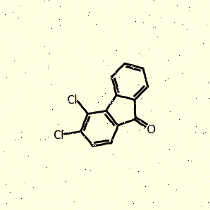 O=C1c2ccccc2-c2c1ccc(Cl)c2Cl